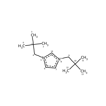 CC(C)(C)Cn1cc[n+](CC(C)(C)C)c1